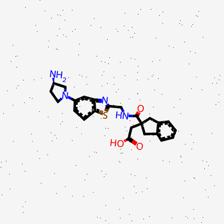 N[C@@H]1CCN(c2ccc3sc(CNC(=O)C4(CC(=O)O)Cc5ccccc5C4)nc3c2)C1